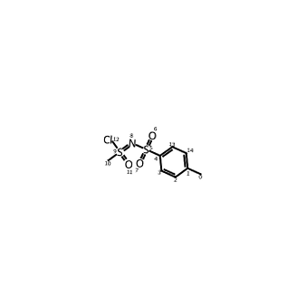 Cc1ccc(S(=O)(=O)N=S(C)(=O)Cl)cc1